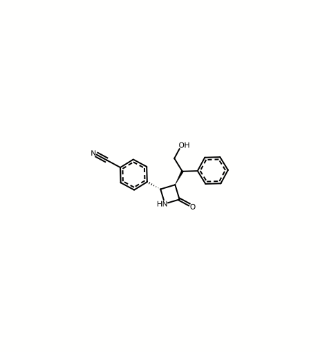 N#Cc1ccc([C@H]2NC(=O)[C@@H]2C(CO)c2ccccc2)cc1